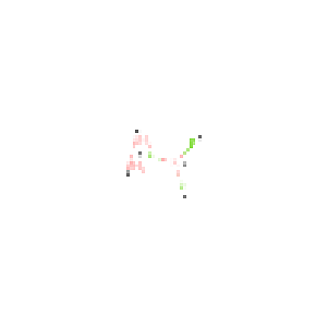 BB.FB(F)F